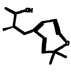 CC(O)[C@@H](C)CC1=C/C=C/OC(C)(C)\C=C\1